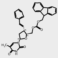 Cc1cn([C@H]2C[C@H](C=Cc3ccccc3)[C@@H](COC(=O)OCC3c4ccccc4-c4ccccc43)O2)c(=O)[nH]c1=O